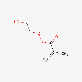 C=C(C)C(=O)OOCCO